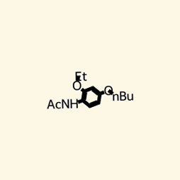 CCCCOc1ccc(NC(C)=O)c(OCC)c1